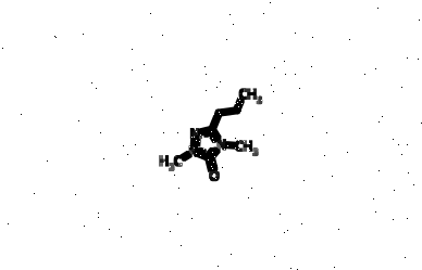 CCCc1nn(C)c(=O)n1C